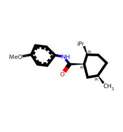 COc1ccc(NC(=O)[C@@H]2C[C@H](C)CC[C@@H]2C(C)C)cc1